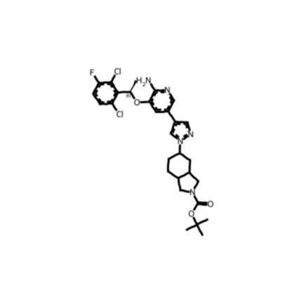 C[C@@H](Oc1cc(-c2cnn(C3CCC4CN(C(=O)OC(C)(C)C)CC4C3)c2)cnc1N)c1c(Cl)ccc(F)c1Cl